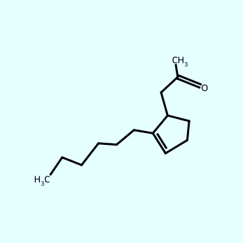 CCCCCCC1=CCCC1CC(C)=O